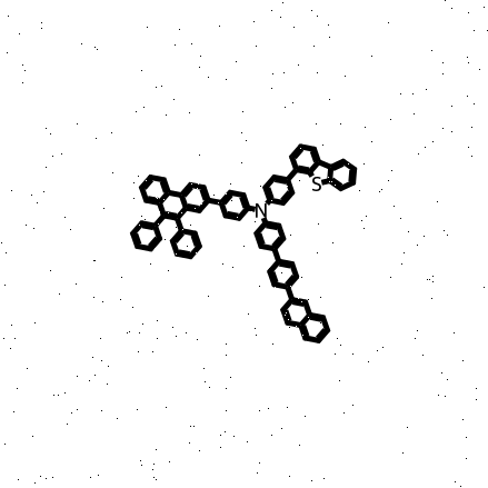 c1ccc(-c2c(-c3ccccc3)c3cc(-c4ccc(N(c5ccc(-c6ccc(-c7ccc8ccccc8c7)cc6)cc5)c5ccc(-c6cccc7c6sc6ccccc67)cc5)cc4)ccc3c3ccccc23)cc1